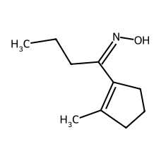 CCC/C(=N/O)C1=C(C)CCC1